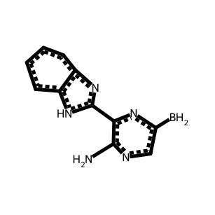 Bc1cnc(N)c(-c2nc3ccccc3[nH]2)n1